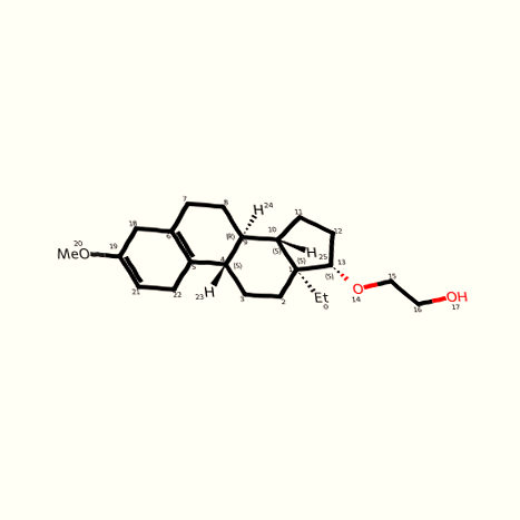 CC[C@]12CC[C@@H]3C4=C(CC[C@H]3[C@@H]1CC[C@@H]2OCCO)CC(OC)=CC4